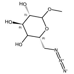 COC1O[C@H](CN=[N+]=[N-])C(O)[C@@H](O)[C@@H]1O